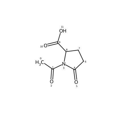 CC(=O)N1C(=O)CCC1C(=O)O